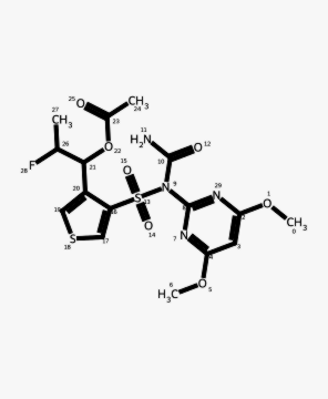 COc1cc(OC)nc(N(C(N)=O)S(=O)(=O)c2cscc2C(OC(C)=O)C(C)F)n1